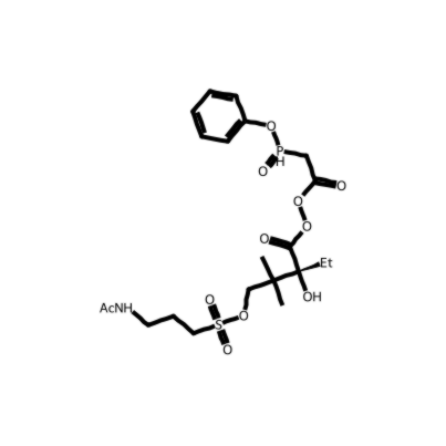 CC[C@](O)(C(=O)OOC(=O)C[PH](=O)Oc1ccccc1)C(C)(C)COS(=O)(=O)CCCNC(C)=O